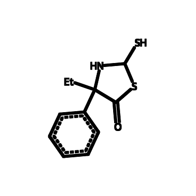 CCC1(c2ccccc2)NC(S)SC1=O